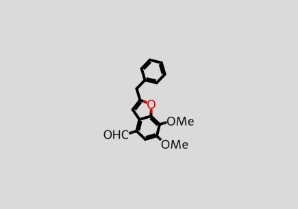 COc1cc(C=O)c2cc(Cc3ccccc3)oc2c1OC